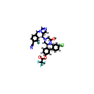 N#Cc1ccc(Cn2cncc2CN2CCN(c3cc(Cl)ccc3-c3cccc(OC(=O)C(F)(F)F)c3)C(=O)C2)cc1F